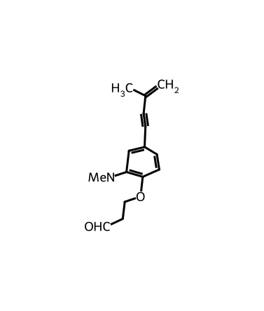 C=C(C)C#Cc1ccc(OCCC=O)c(NC)c1